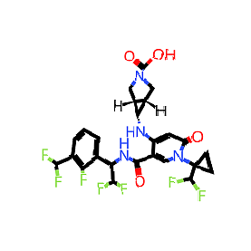 O=C(NC(c1cccc(C(F)F)c1F)C(F)F)c1cn(C2(C(F)F)CC2)c(=O)cc1N[C@@H]1[C@@H]2CN(C(=O)O)C[C@@H]21